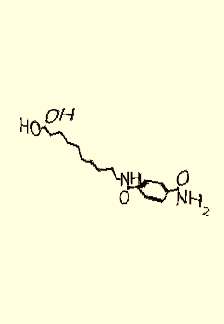 NC(=O)c1ccc(C(=O)NCCCCCCCCCC(O)O)cc1